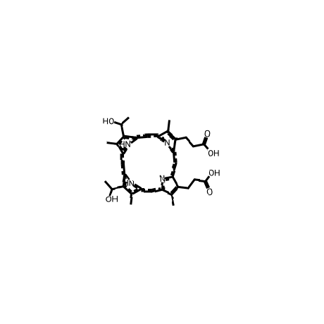 CC1=C(CCC(=O)O)c2cc3nc(cc4[nH]c(cc5[nH]c(cc1n2)c(C)c5C(C)O)c(C)c4C(C)O)C(C)=C3CCC(=O)O